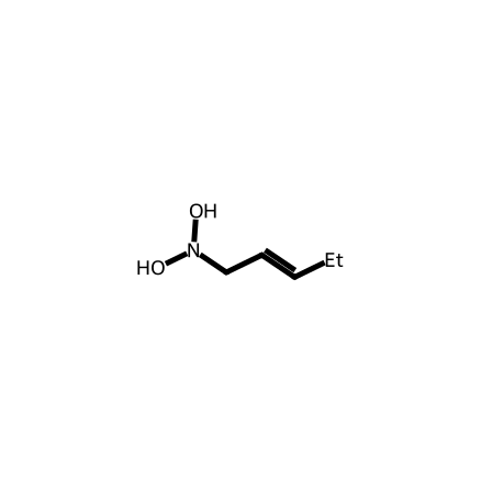 CCC=CCN(O)O